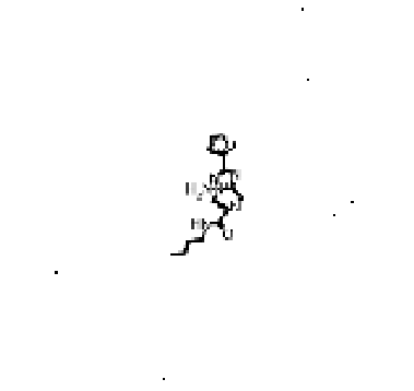 CCCCNC(=O)C1=C[N+]2(N)N=C(c3ccco3)N=C2C=N1